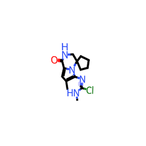 CN/C(Cl)=N\c1c(C)cc2n1C1(CCCC1)CNC2=O